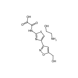 NCCO.O=C(O)C(=O)Nc1nc(-c2cc(CO)on2)cs1